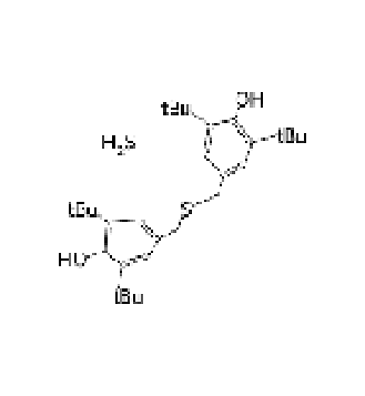 CC(C)(C)c1cc(CSCc2cc(C(C)(C)C)c(O)c(C(C)(C)C)c2)cc(C(C)(C)C)c1O.S